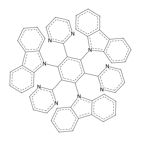 c1cnc(-c2c(-n3c4ccccc4c4ccccc43)c(-c3ncccn3)c(-n3c4ccccc4c4ccccc43)c(-c3ncccn3)c2-n2c3ccccc3c3ccccc32)nc1